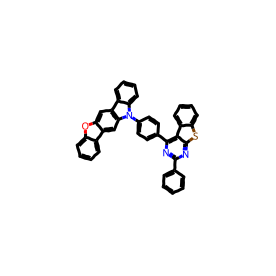 c1ccc(-c2nc(-c3ccc(-n4c5ccccc5c5cc6oc7ccccc7c6cc54)cc3)c3c(n2)sc2ccccc23)cc1